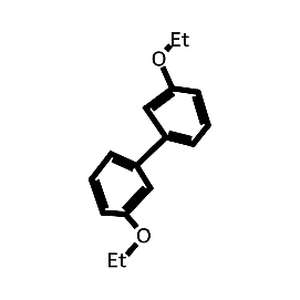 CCOc1cccc(-c2cccc(OCC)c2)c1